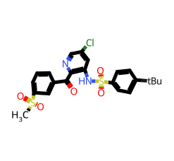 CC(C)(C)c1ccc(S(=O)(=O)Nc2cc(Cl)cnc2C(=O)c2cccc(S(C)(=O)=O)c2)cc1